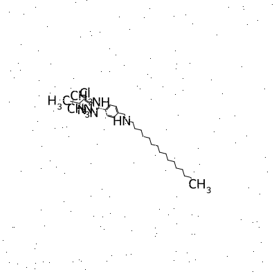 CCCCCCCCCCCCCCCCNCc1ccc(-c2nn3nc(C(C)(C)C)c(Cl)c3[nH]2)cc1